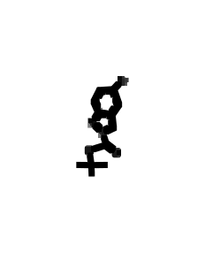 CC(C)(C)OC(=O)n1cc2cc(Br)ccc2n1